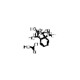 CC(C)(C)C1([N+](=O)[O-])C=CC=CC1C(O)C(=O)O.O=C(O)Cl